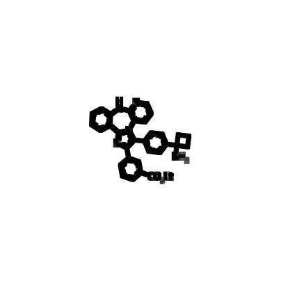 CCOC(=O)c1cccc(-c2nc3n(c2-c2ccc(C4(N)CCC4)cc2)-c2cccnc2Nc2ccccc2-3)c1